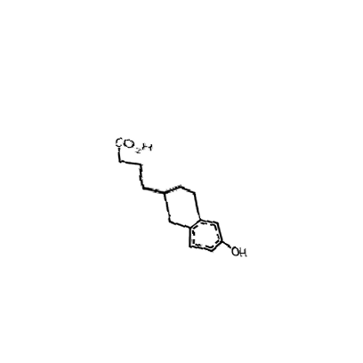 O=C(O)CCCC1CCc2cc(O)ccc2C1